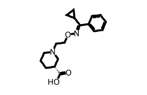 O=C(O)[C@@H]1CCCN(CCO/N=C(/c2ccccc2)C2CC2)C1